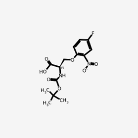 CC(C)(C)OC(=O)N[C@H](COc1ccc(F)cc1[N+](=O)[O-])C(=O)O